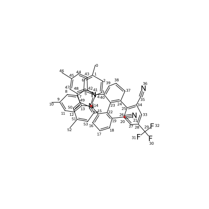 Cc1ccc2c(c1)c1cc(C)ccc1n2-c1cccc(C#N)c1-c1c(-c2ccc(C(F)(F)F)cc2C#N)cccc1-n1c2ccc(C)cc2c2cc(C)ccc21